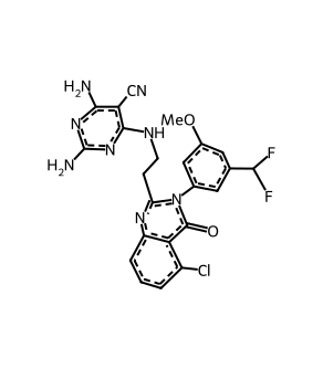 COc1cc(C(F)F)cc(-n2c(CCNc3nc(N)nc(N)c3C#N)nc3cccc(Cl)c3c2=O)c1